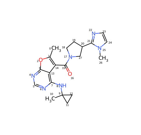 Cc1oc2ncnc(NC3(C)CC3)c2c1C(=O)N1CCC(c2nccn2C)C1